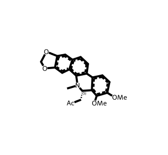 COc1ccc2c(c1OC)[C@H](CC(C)=O)N(C)c1c-2ccc2cc3c(cc12)OCO3